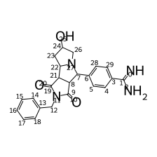 N=C(N)c1ccc(C2C3C(=O)N(Cc4ccccc4)C(=O)C3C3CC(O)CN32)cc1